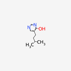 CC(C)CCc1cncnc1O